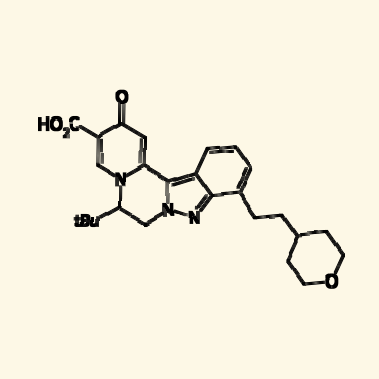 CC(C)(C)C1Cn2nc3c(CCC4CCOCC4)cccc3c2-c2cc(=O)c(C(=O)O)cn21